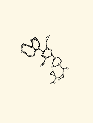 COC[C@@H]1CC1C(=O)N1CCN(c2nc(C3CC3)c(-c3cccc4cnccc34)cc2C#N)C[C@H]1C1CC1